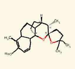 COC1=C(C)C2CCC3[C@@H]4CC[C@]3(O[C@]3(CCC(C)(C)O3)[C@H]4C)C2C=C1